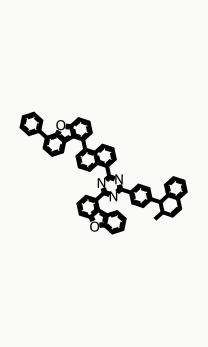 CC1C=Cc2ccccc2C1c1ccc(-c2nc(-c3cccc4c(-c5cccc6oc7c(-c8ccccc8)cccc7c56)cccc34)nc(-c3cccc4oc5ccccc5c34)n2)cc1